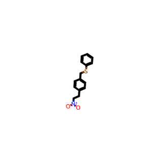 O=[N+]([O-])CCc1ccc(CSc2ccccc2)cc1